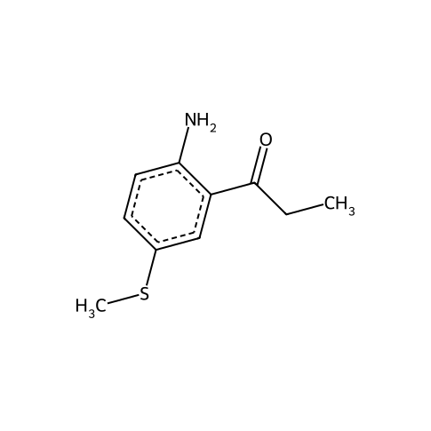 CCC(=O)c1cc(SC)ccc1N